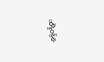 Cc1ccc(C(=O)NC2CCC(Nc3ccnc4cc(Cl)ccc34)CC2)cn1